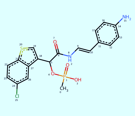 CP(=O)(O)OC(C(=O)NC=Cc1ccc(N)cc1)c1csc2ccc(Cl)cc12